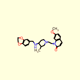 COc1ccc2ccc(=O)n(CCN3CCC(NCc4ccc5c(c4)OCCO5)C(C)C3)c2c1